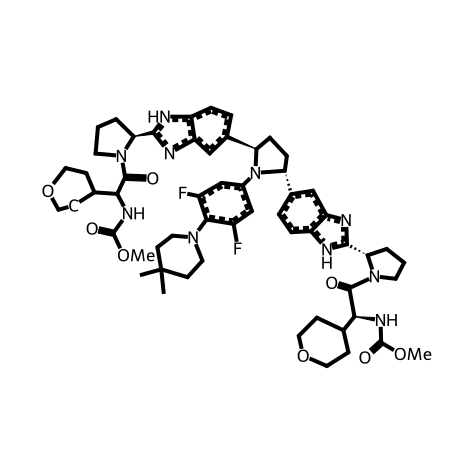 COC(=O)NC(C(=O)N1CCC[C@H]1c1nc2cc([C@H]3CC[C@H](c4ccc5[nH]c([C@@H]6CCCN6C(=O)[C@@H](NC(=O)OC)C6CCOCC6)nc5c4)N3c3cc(F)c(N4CCC(C)(C)CC4)c(F)c3)ccc2[nH]1)C1CCOCC1